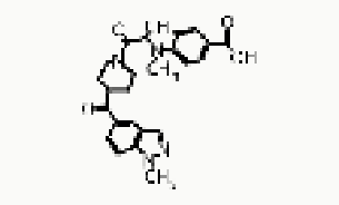 CC(C(=O)N1CCC(C(=O)c2ccc3c(cnn3C)c2)CC1)N(C)c1ccc(C(=O)O)cc1